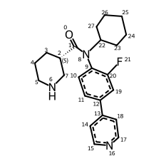 O=C([C@H]1CCCNC1)N(c1ccc(-c2ccncc2)cc1F)C1CCCCC1